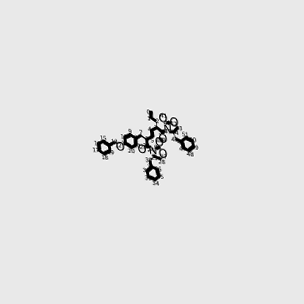 C=CC[C@@H](/C=C/[C@H](Cc1ccc(OCc2ccccc2)cc1)C(=O)N1C(=O)OC[C@@H]1Cc1ccccc1)C(=O)N1C(=O)OC[C@@H]1Cc1ccccc1